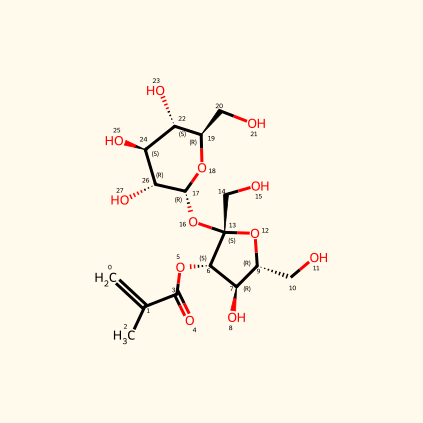 C=C(C)C(=O)O[C@H]1[C@H](O)[C@@H](CO)O[C@@]1(CO)O[C@H]1O[C@H](CO)[C@@H](O)[C@H](O)[C@H]1O